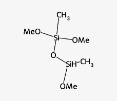 CO[SiH](C)O[Si](C)(OC)OC